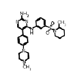 CC1CCCCN1S(=O)(=O)c1cccc(Nc2nc(N)ncc2-c2ccc(N3CCN(C)CC3)cc2)c1